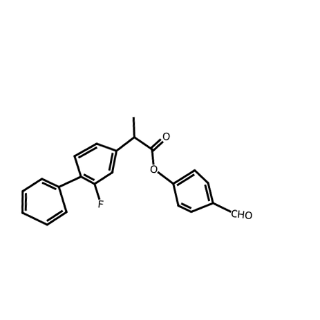 CC(C(=O)Oc1ccc(C=O)cc1)c1ccc(-c2ccccc2)c(F)c1